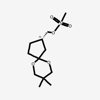 CC1(C)COC2(CC[C@H](COS(C)(=O)=O)C2)OC1